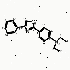 CCN(CC)c1ccc(-c2nc(-c3ccccc3)co2)cc1